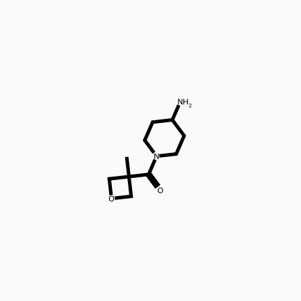 CC1(C(=O)N2CCC(N)CC2)COC1